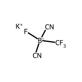 N#C[B-](F)(C#N)C(F)(F)F.[K+]